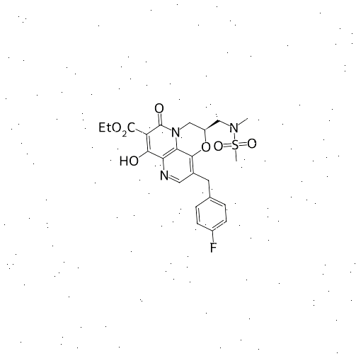 CCOC(=O)c1c(O)c2ncc(Cc3ccc(F)cc3)c3c2n(c1=O)C[C@@H](CN(C)S(C)(=O)=O)O3